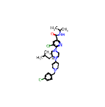 CC(C)C[C@H]1CN(c2ncc(C(=O)NC(C)C)cc2Cl)CCN1C1CCN(Cc2ccc(Cl)cc2)CC1